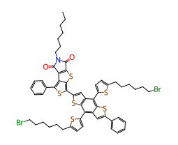 CCCCCCCN1C(=O)c2sc3c(-c4cc5c(-c6ccc(CCCCCCBr)s6)c6sc(-c7ccccc7)cc6c(-c6ccc(CCCCCCBr)s6)c5s4)sc(-c4ccccc4)c3c2C1=O